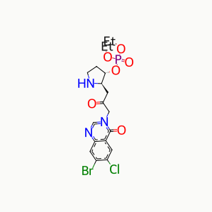 CCOP(=O)(OCC)O[C@H]1CCN[C@@H]1CC(=O)Cn1cnc2cc(Br)c(Cl)cc2c1=O